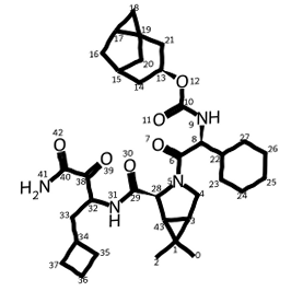 CC1(C)C2CN(C(=O)[C@@H](NC(=O)O[C@H]3CC4CC5CC5(C4)C3)C3CCCCC3)[C@H](C(=O)NC(CC3CCC3)C(=O)C(N)=O)C21